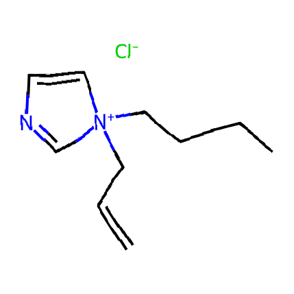 C=CC[N+]1(CCCC)C=CN=C1.[Cl-]